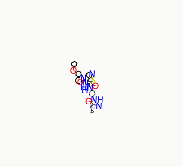 Cc1cc(Oc2ccccc2)ccc1N1C(=O)Nc2c(C(=O)N[C@H]3CC[C@H](NC(=O)/C(C#N)=C/C4CC4)CC3)sc3nccc1c23